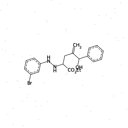 C=C(CC(NNc1cccc(Br)c1)C(=O)OCC)C(O)c1ccccc1